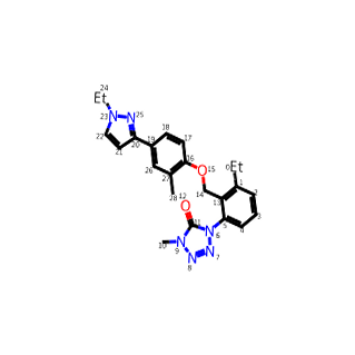 CCc1cccc(-n2nnn(C)c2=O)c1COc1ccc(-c2ccn(CC)n2)cc1C